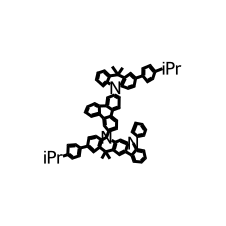 CC(C)c1ccc(-c2ccc3c(c2)C(C)(C)c2ccccc2N3c2ccc3c4ccc(N5c6ccc(-c7ccc(C(C)C)cc7)cc6C(C)(C)c6cc7c8ccccc8n(-c8ccccc8)c7cc65)cc4c4ccccc4c3c2)cc1